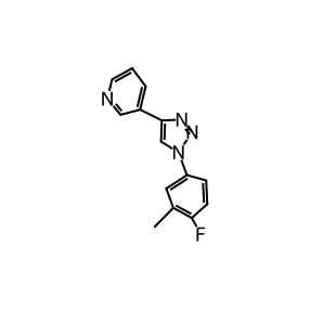 Cc1cc(-n2cc(-c3cccnc3)nn2)ccc1F